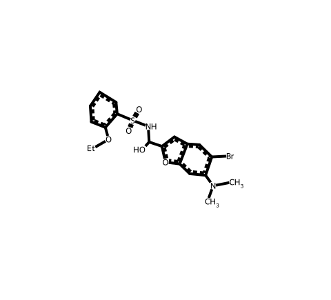 CCOc1ccccc1S(=O)(=O)NC(O)c1cc2cc(Br)c(N(C)C)cc2o1